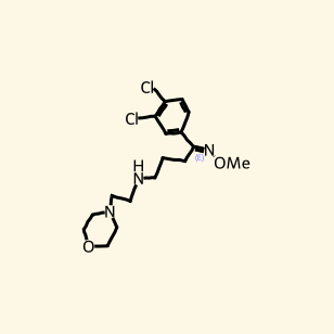 CO/N=C(\CCCNCCN1CCOCC1)c1ccc(Cl)c(Cl)c1